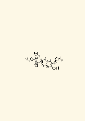 COC1C=C2CCN(C(=O)C(C)C)CC2=CC1O